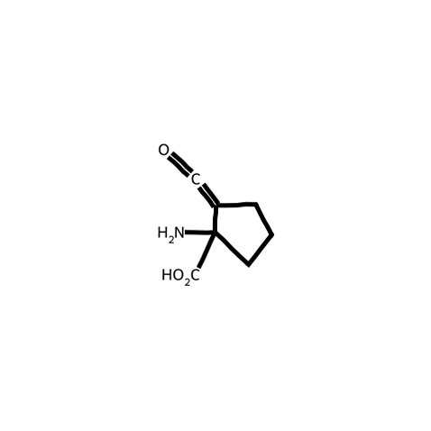 NC1(C(=O)O)CCCC1=C=O